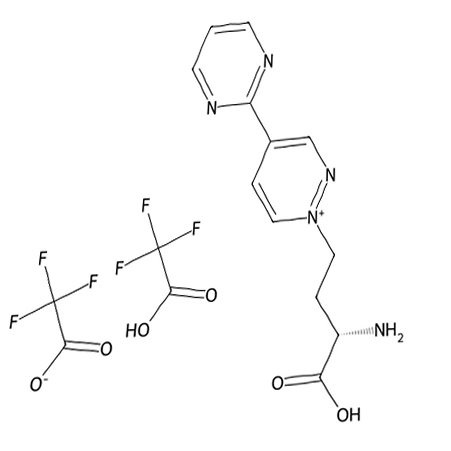 N[C@@H](CC[n+]1ccc(-c2ncccn2)cn1)C(=O)O.O=C(O)C(F)(F)F.O=C([O-])C(F)(F)F